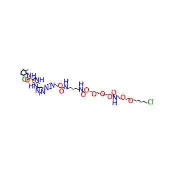 Cc1nc(NC2(C)NC=C(C(=O)Nc3c(C)cccc3Cl)S2)cc(N2CCN(CCOC(=O)NCCCCCNC(=O)OCCOCCOCCOC(=O)NCCOCCOCCCCCCCl)CC2)n1